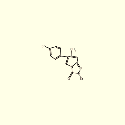 CCn1nc2cc(C)c(-c3ccc(Br)cc3)nn2c1=O